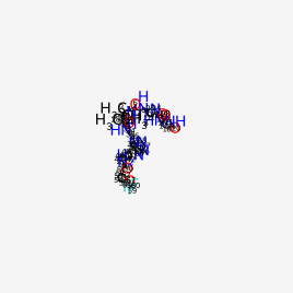 CC(C)(CNC(=O)CNc1ccc(C(=O)NC2CCC(=O)NC2=O)nc1)CC(C)(C)CC(=O)NCCCn1cc(-c2ccc3c(c2)CCN3C(=O)Cc2cccc(OC(F)(F)F)c2)c2c(N)ncnc21